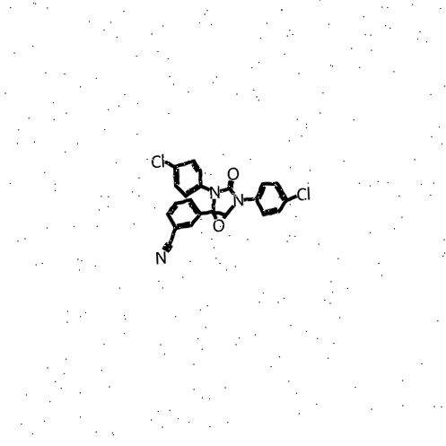 N#Cc1cccc(C23OC2N(c2ccc(Cl)cc2)C(=O)N3c2ccc(Cl)cc2)c1